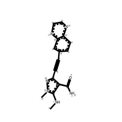 CNc1c(C(N)=O)c(C#Cc2ccc3nccnc3c2)nn1C